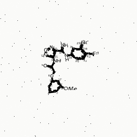 COc1cccc(OCC(=O)Nc2nonc2C(=N)Nc2ccc(F)c(Br)c2)c1